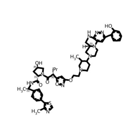 Cc1ncsc1-c1ccc([C@H](C)NC(=O)[C@@H]2C[C@@H](O)CN2C(=O)[C@@H](c2cc(OCCN3CCC(N4CCN5c6cc(-c7ccccc7O)nnc6NC[C@H]5C4)C(C)C3)no2)C(C)C)cc1